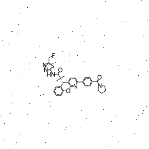 CC(C)(C(=O)Nc1nnc(CF)s1)[C@H]1c2ccccc2Oc2nc(-c3ccc(C(=O)N4CCCC4)cc3)ccc21